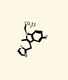 CCOC(=O)Cn1c(C)c(Cc2nccs2)c2cc(F)ccc21